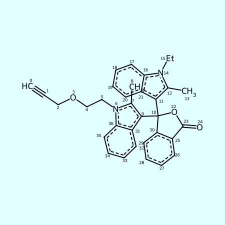 C#CCOCCn1c(C)c(C2(c3c(C)n(CC)c4ccccc34)OC(=O)c3ccccc32)c2ccccc21